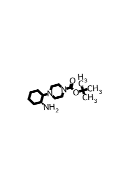 CC(C)(C)OC(=O)N1CCN(C2CCCC[C@@H]2N)CC1